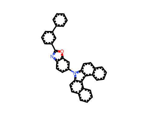 c1ccc(-c2cccc(-c3nc4ccc(-n5c6ccc7ccccc7c6c6c7ccccc7ccc65)cc4o3)c2)cc1